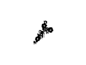 COc1ccc(C[C@@H](NC(=O)N[C@H](C)c2ccc(Br)cc2)c2nc3ccccc3[nH]2)cc1